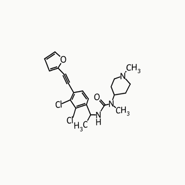 CC(NC(=O)N(C)C1CCN(C)CC1)c1ccc(C#Cc2ccco2)c(Cl)c1Cl